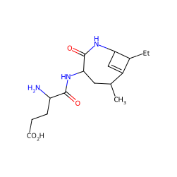 CCC1C2=CC1NC(=O)C(NC(=O)C(N)CCC(=O)O)CC2C